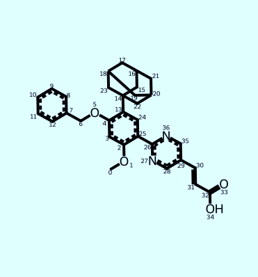 COc1cc(OCc2ccccc2)c(C23CC4CC(CC(C4)C2)C3)cc1-c1ncc(C=CC(=O)O)cn1